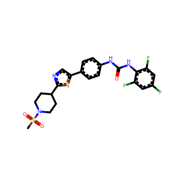 CS(=O)(=O)N1CCC(c2ncc(-c3ccc(NC(=O)Nc4c(F)cc(F)cc4F)cc3)s2)CC1